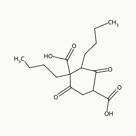 CCCCC1C(=O)C(C(=O)O)CC(=O)C1(CCCC)C(=O)O